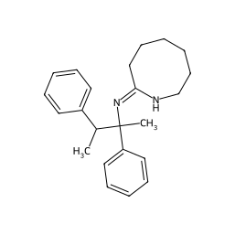 CC(c1ccccc1)C(C)(N=C1CCCCCCN1)c1ccccc1